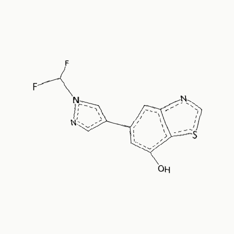 Oc1cc(-c2cnn(C(F)F)c2)cc2ncsc12